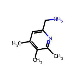 Cc1cc(CN)nc(C)c1C